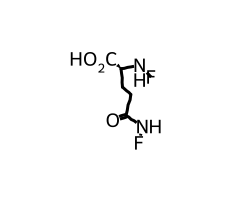 O=C(CC[C@H](NF)C(=O)O)NF